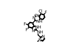 Cn1ccnc1CNc1nc2c(F)c(F)cc(/C(=N/O)Nc3ccc(F)c(Cl)c3)c2[nH]1